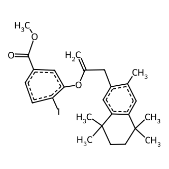 C=C(Cc1cc2c(cc1C)C(C)(C)CCC2(C)C)Oc1cc(C(=O)OC)ccc1I